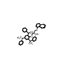 CC(c1ccccc1)c1cc(C(C)c2ccccc2)c(OCC(O)COc2cccc3ccccc23)c(C(C)c2ccccc2)c1